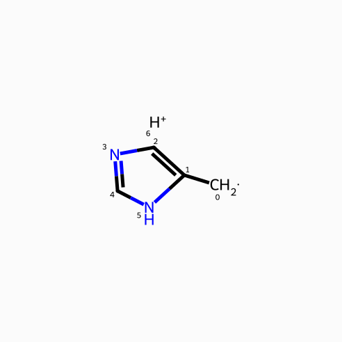 [CH2]c1cnc[nH]1.[H+]